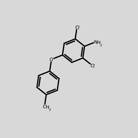 Cc1ccc(Oc2cc(Cl)c(N)c(Cl)c2)cc1